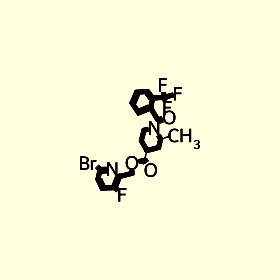 C[C@@H]1C[C@H](C(=O)OCc2nc(Br)ccc2F)CCN1C(=O)c1ccccc1C(F)(F)F